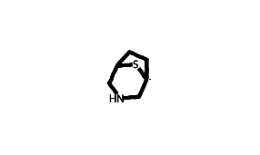 C1CC2CNC[C]1S2